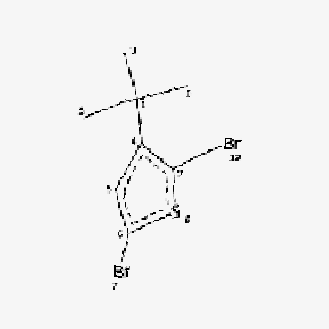 CC(C)(C)c1cc(Br)sc1Br